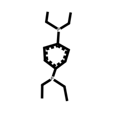 CCP(CC)c1[c]cc(P(CC)CC)cc1